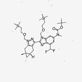 C[C@H]1[C@H]2Cc3c(-c4nc5c(C(F)F)cc(N(C)C(=O)OC(C)(C)C)cc5n4COCC[Si](C)(C)C)nn(COCC[Si](C)(C)C)c3C[C@]21C